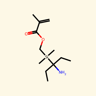 C=C(C)C(=O)OC[Si](C)(C)C(N)(CC)CC